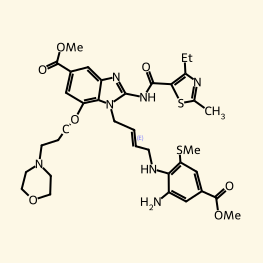 CCc1nc(C)sc1C(=O)Nc1nc2cc(C(=O)OC)cc(OCCCN3CCOCC3)c2n1C/C=C/CNc1c(N)cc(C(=O)OC)cc1SC